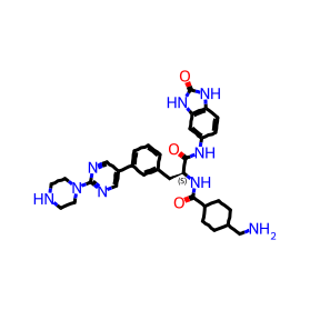 NCC1CCC(C(=O)N[C@@H](Cc2cccc(-c3cnc(N4CCNCC4)nc3)c2)C(=O)Nc2ccc3[nH]c(=O)[nH]c3c2)CC1